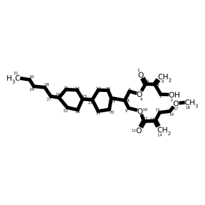 C=C(CO)C(=O)OCC(COC(=O)C(=C)CCOC)C1CCC(C2CCC(CCCCC)CC2)CC1